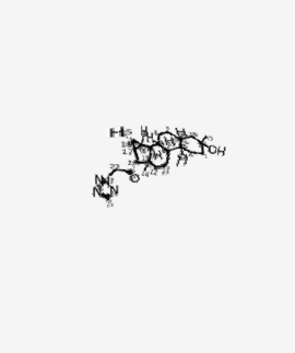 C[C@@]1(O)CC[C@H]2[C@H](CC[C@@H]3[C@@H]2CC[C@@]2(C)[C@H]3[C@@H]3C4[C@@H]3[C@]42C(=O)Cn2ncnn2)C1